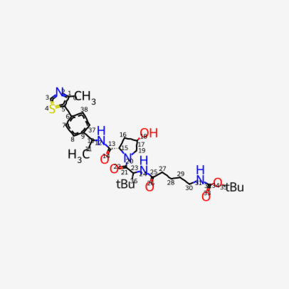 Cc1ncsc1-c1ccc(C(C)NC(=O)[C@@H]2C[C@@H](O)CN2C(=O)C(NC(=O)CCCCNC(=O)OC(C)(C)C)C(C)(C)C)cc1